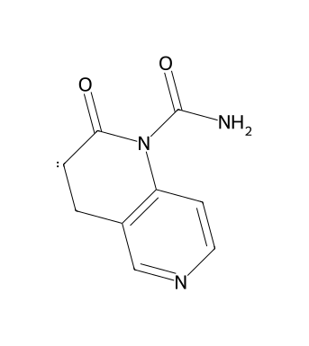 NC(=O)N1C(=O)[C]Cc2cnccc21